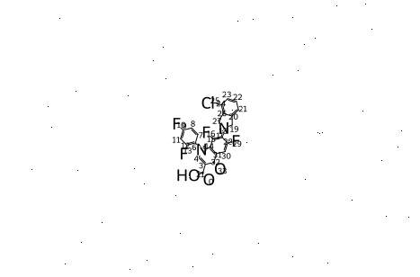 O=C(O)c1cn(-c2ccc(F)cc2F)c2c(F)c(N3Cc4cccc(Cl)c4C3)c(F)cc2c1=O